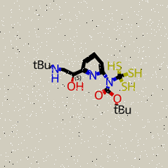 CC(C)(C)NC[C@H](O)c1cccc(N(C(=O)OC(C)(C)C)C(S)(S)S)n1